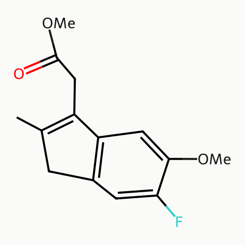 COC(=O)CC1=C(C)Cc2cc(F)c(OC)cc21